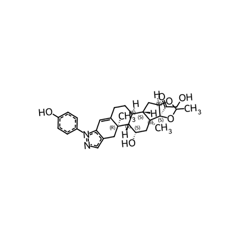 CC1O[C@@H]2C[C@H]3[C@@H]4CCC5=Cc6c(cnn6-c6ccc(O)cc6)C[C@]5(C)[C@H]4[C@@H](O)C[C@]3(C)[C@]2(C(=O)CO)O1